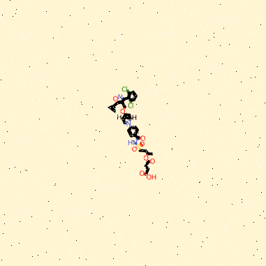 CC(CCS(=O)(=O)NC(=O)c1ccc(N2C[C@@H]3C[C@H]2C[C@H]3OCc2c(-c3c(Cl)cccc3Cl)noc2C2CC2)cc1)OC(=O)CCC(=O)O